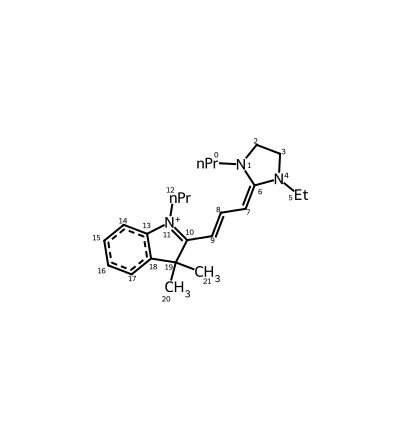 CCCN1CCN(CC)/C1=C/C=C/C1=[N+](CCC)c2ccccc2C1(C)C